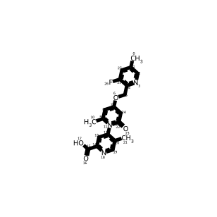 Cc1cnc(COc2cc(C)n(-c3cc(C(=O)O)ncc3C)c(=O)c2)c(F)c1